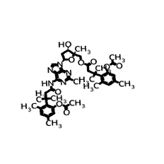 CC(=O)Oc1cc(C)cc(C)c1C(C)(C)CC(=O)Nc1nc(Cl)nc2c1ncn2[C@H]1C[C@H](O)[C@@](C)(COC(=O)CC(C)(C)c2c(C)cc(C)cc2OC(C)=O)O1